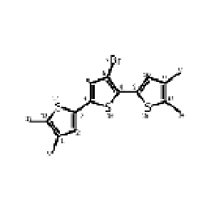 Cc1cc(-c2cc(Br)c(-c3cc(C)c(C)s3)s2)sc1C